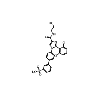 CS(=O)(=O)c1cccc(-c2ccc(-n3cc(C(=O)NCCO)nc3-c3c(Cl)cccc3Cl)cc2)c1